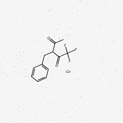 CC(=O)C(Cc1ccccc1)C(=O)C(F)(F)F.[Cu]